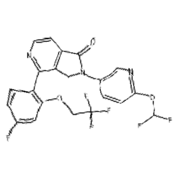 O=C1c2ccnc(-c3ccc(F)cc3OCC(F)(F)F)c2CN1c1ccc(OC(F)F)nc1